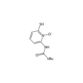 CCCCC(=O)Nc1cccc(S)[n+]1[O-]